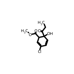 CCC(=O)C1(O)C=CC(Cl)=CC1C(=O)OC